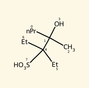 CCCC(C)(O)C(CC)(CC)S(=O)(=O)O